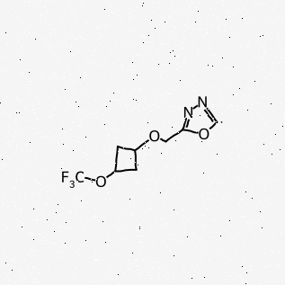 FC(F)(F)OC1CC(OCc2nn[c]o2)C1